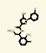 Cc1c(F)cccc1C(CC(=O)O)NC(=O)c1cc(O)n(-c2cccc(F)c2)n1